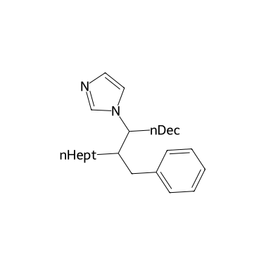 CCCCCCCCCCC(C(CCCCCCC)Cc1ccccc1)n1ccnc1